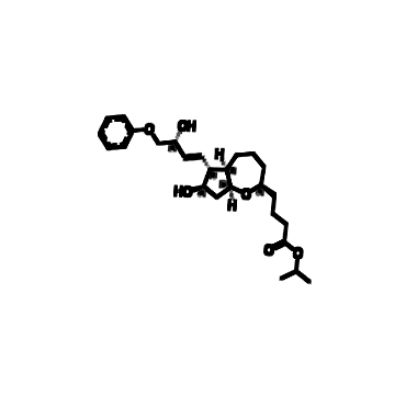 CC(C)OC(=O)CCC[C@@H]1CCC[C@@H]2[C@@H](C=C[C@@H](O)COc3ccccc3)[C@H](O)C[C@@H]2O1